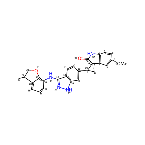 COc1ccc2c(c1)[C@]1(C[C@H]1c1ccc3c(Nc4cccc5c4OCC5C)n[nH]c3c1)C(=O)N2